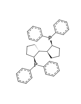 c1ccc(P(c2ccccc2)[C@H]2CCC[C@@H]2[C@@H]2CCC[C@@H]2P(c2ccccc2)c2ccccc2)cc1